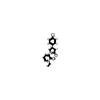 CCn1cccc(N2C[C@@H](c3ccc(Cl)cc3)CC2=O)c1=O